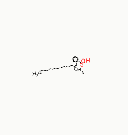 CCCCCCCCCCCCCCCC(C)Cc1ccccc1C(=O)O